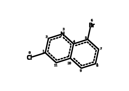 Clc1cnc2c(Br)c[c]cc2c1